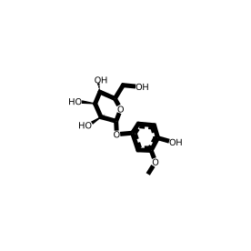 COc1cc(OC2OC(CO)[C@@H](O)[C@H](O)[C@@H]2O)ccc1O